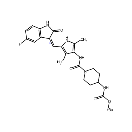 Cc1[nH]c(/C=C2\C(=O)Nc3ccc(F)cc32)c(C)c1NC(=O)N1CCC(NC(=O)OC(C)(C)C)CC1